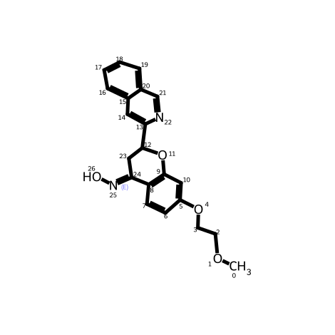 COCCOc1ccc2c(c1)OC(c1cc3ccccc3cn1)C/C2=N\O